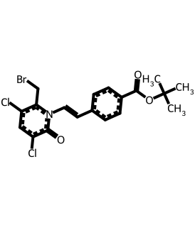 CC(C)(C)OC(=O)c1ccc(C=Cn2c(CBr)c(Cl)cc(Cl)c2=O)cc1